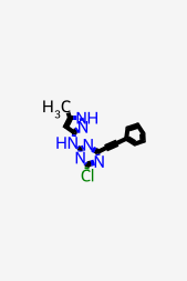 Cc1cc(Nc2nc(Cl)nc(C#Cc3ccccc3)n2)n[nH]1